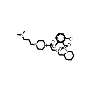 CN(C)CCCN1CCN(C(=O)COCC2CCCCN2S(=O)(=O)c2c(Cl)cccc2Cl)CC1